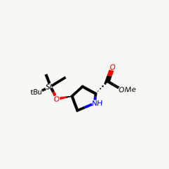 COC(=O)[C@H]1C[C@H](O[Si](C)(C)C(C)(C)C)CN1